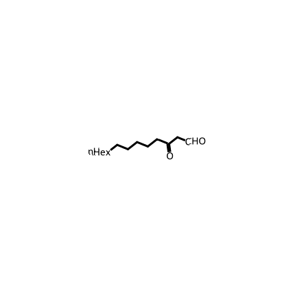 CCCCCCCCCCCC(=O)CC=O